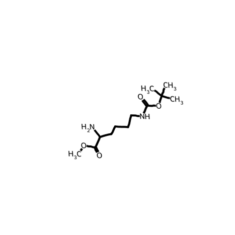 COC(=O)C(N)CCCCNC(=O)OC(C)(C)C